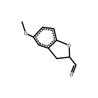 COc1ccc2c(c1)CC(C=O)O2